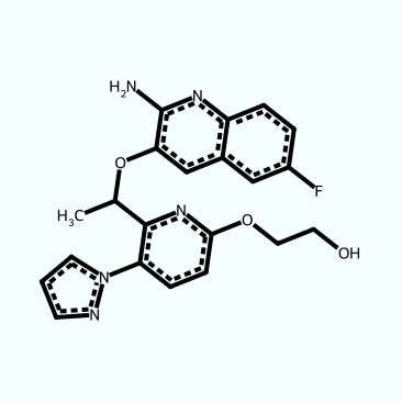 CC(Oc1cc2cc(F)ccc2nc1N)c1nc(OCCO)ccc1-n1cccn1